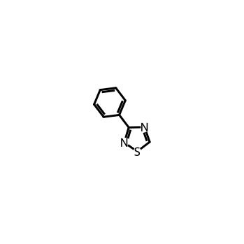 c1ccc(-c2ncsn2)cc1